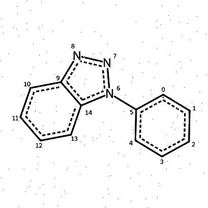 [c]1ccccc1-n1nnc2ccccc21